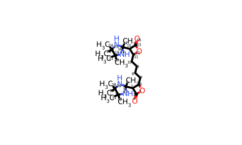 CC1(C2C(=O)OC2CCCCC2OC(=O)C2C2(C)NC(C)(C)C(C)(C)N2)NC(C)(C)C(C)(C)N1